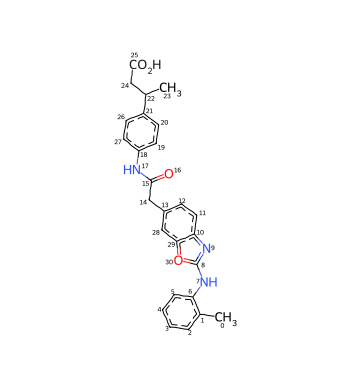 Cc1ccccc1Nc1nc2ccc(CC(=O)Nc3ccc(C(C)CC(=O)O)cc3)cc2o1